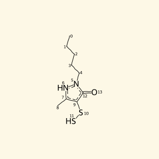 CCCCCn1[nH]c(C)c(SS)c1=O